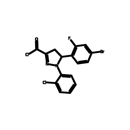 O=C(Cl)C1=NN(c2ccccc2Cl)C(c2ccc(Br)cc2F)C1